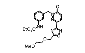 CCOC(=O)Nc1cccc(Cn2nc(-c3noc(COCCOC)n3)ccc2=O)c1